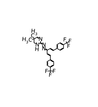 CC1(C)C=NC(=NN=C(C=Cc2ccc(C(F)(F)F)cc2)C=Cc2ccc(C(F)(F)F)cc2)NC1